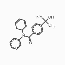 CCCC(C)(O)c1ccc(C(=O)N(c2ccccc2)C2C=CC=CC2)cc1